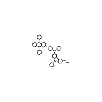 CCCc1ccc2c(c1)c1cc(N(c3ccccc3)c3ccc(-c4ccc5c(-c6ccccc6)c6ccccc6c(-c6ccccc6)c5c4)cc3)ccc1n2-c1ccccc1